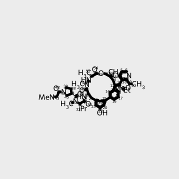 CCn1c(-c2cccnc2[C@H](C)OC)c2c3cc(ccc31)-c1cc(O)cc(c1)C[C@H](NC(=O)C(C(C)C)N(C)C(=O)[C@H]1CCN(C(=O)CNC)C1)C(=O)N(C)N[C@@H](C)C(=O)OCC(C)(C)C2